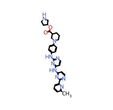 Cc1cccc(-c2nccc(Nc3ccnc(Nc4ccc(N5CCCC(C(=O)O[C@H]6CCNC6)C5)cc4)n3)n2)n1